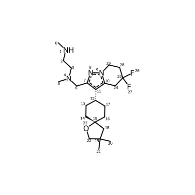 CNCCN(C)Cc1nn2c(c1[C@H]1CC[C@@]3(CC1)CC(C)(C)CO3)CC(F)(F)CC2